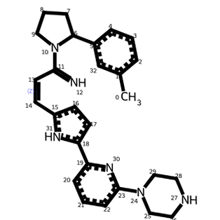 Cc1cccc(C2CCCN2C(=N)/C=C\c2ccc(-c3cccc(N4CCNCC4)n3)[nH]2)c1